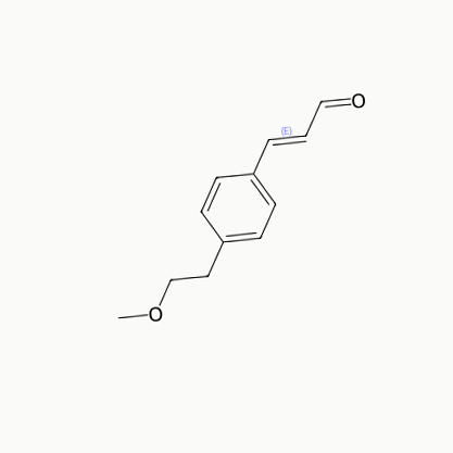 COCCc1ccc(/C=C/C=O)cc1